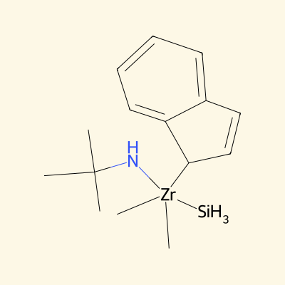 CC(C)(C)[NH][Zr]([CH3])([CH3])([SiH3])[CH]1C=Cc2ccccc21